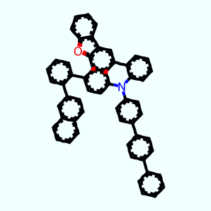 c1ccc(-c2ccc(-c3ccc(N(c4ccc(-c5ccccc5-c5ccc6ccccc6c5)cc4)c4ccccc4-c4ccc5oc6ccccc6c5c4)cc3)cc2)cc1